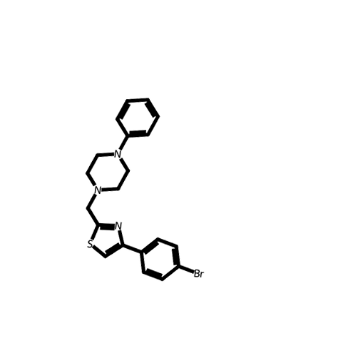 Brc1ccc(-c2csc(CN3CCN(c4ccccc4)CC3)n2)cc1